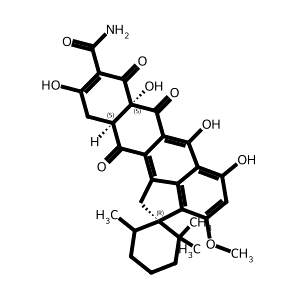 COc1cc(O)c2c(O)c3c(c4c2c1[C@]1(C4)C(C)CCCC1(C)C)C(=O)[C@H]1CC(O)=C(C(N)=O)C(=O)[C@@]1(O)C3=O